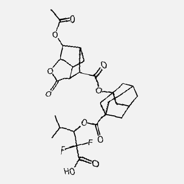 CC(=O)OC1C2CC3C1OC(=O)C3C2C(=O)OC12CC3CC(C1)CC(C(=O)OC(C(C)C)C(F)(F)C(=O)O)(C3)C2